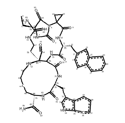 CC[C@@H]1NC(=O)N(C2(C(=O)N[C@H](Cc3ccc4ccccc4c3)C(=O)NC3C(=O)N[C@@H](Cc4c[nH]c5ccccc45)C(=O)N[C@H](C(N)=O)CCCCN[C@]3(C=O)CCNC(=N)N)CC2)C1=O